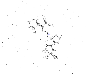 CC(=O)N(C/C=C/[C@@H]1CCCN1C(=O)OC(C)(C)C)c1ccccc1I